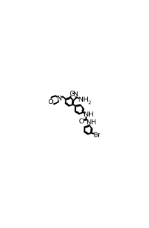 Nc1noc2c(CN3CCOCC3)ccc(-c3ccc(NC(=O)Nc4cccc(Br)c4)cc3)c12